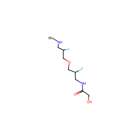 CC(C)(C)NCC(F)COCC(F)CNC(=O)CO